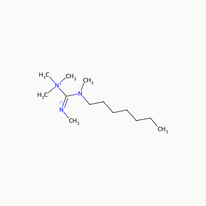 CCCCCCCN(C)/C(=N\C)[N+](C)(C)C